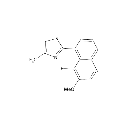 COc1[c]nc2cccc(-c3nc(C(F)(F)F)cs3)c2c1F